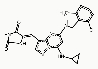 Cc1cccc(Cl)c1CNc1cc(NC2CC2)n2ncc(/C=C3\NC(=O)NC3=O)c2n1